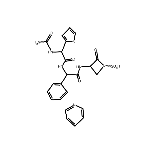 NC(=O)NC(C(=O)NC(C(=O)NC1CN(S(=O)(=O)O)C1=O)c1ccccc1)c1cccs1.c1ccncc1